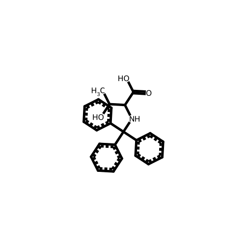 CC(O)C(NC(c1ccccc1)(c1ccccc1)c1ccccc1)C(=O)O